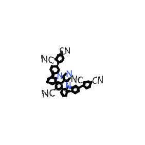 N#Cc1ccc(-c2c(-n3c4ccccc4c4ccc(-c5ccc(C#N)cc5C#N)cc43)cncc2-n2c3ccccc3c3ccc(-c4ccc(C#N)cc4C#N)cc32)cc1